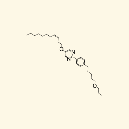 CCCCCCC/C=C\CCOc1cnc(-c2ccc(CCCCCOCCC)cc2)nc1